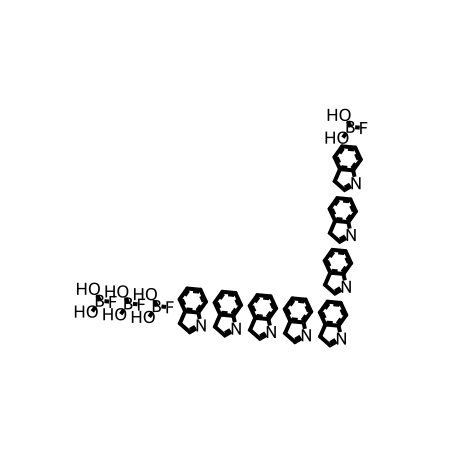 C1=Nc2ccccc2C1.C1=Nc2ccccc2C1.C1=Nc2ccccc2C1.C1=Nc2ccccc2C1.C1=Nc2ccccc2C1.C1=Nc2ccccc2C1.C1=Nc2ccccc2C1.C1=Nc2ccccc2C1.OB(O)F.OB(O)F.OB(O)F.OB(O)F